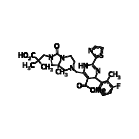 COC(=O)C1=C(CN2CCN3C(=O)N(CC(C)(C)C(=O)O)CC3(C)C2)NC(c2nccs2)=NC1c1cccc(F)c1C